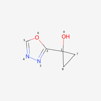 OC1(c2nn[c]o2)CC1